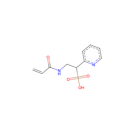 C=CC(=O)NCC(c1ccccn1)S(=O)(=O)O